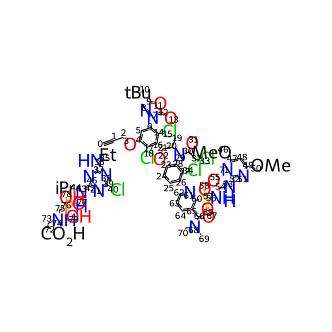 C#CCOc1cc(-n2nc(C(C)(C)C)oc2=O)c(Cl)cc1Cl.CC1COc2ccccc2N1C(=O)C(Cl)Cl.CCNc1nc(Cl)nc(NC(C)C)n1.COc1cc(OC)nc(NC(=O)NS(=O)(=O)c2ncccc2C(=O)N(C)C)n1.O=C(O)CNCP(=O)(O)O